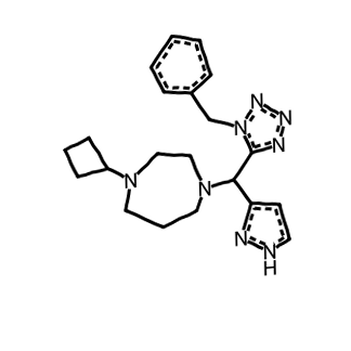 c1ccc(Cn2nnnc2C(c2cc[nH]n2)N2CCCN(C3CCC3)CC2)cc1